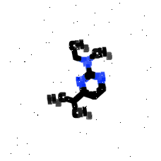 CCN(C)c1nccc(C(C)C)n1